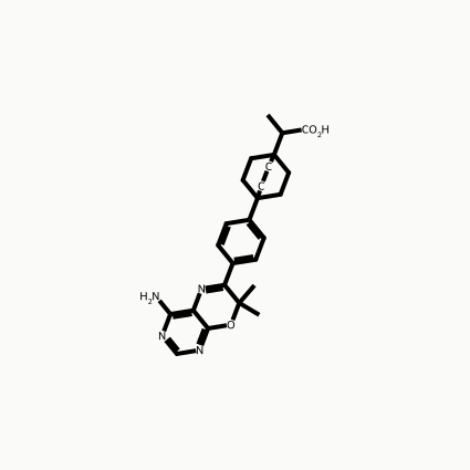 CC(C(=O)O)C12CCC(c3ccc(C4=Nc5c(N)ncnc5OC4(C)C)cc3)(CC1)CC2